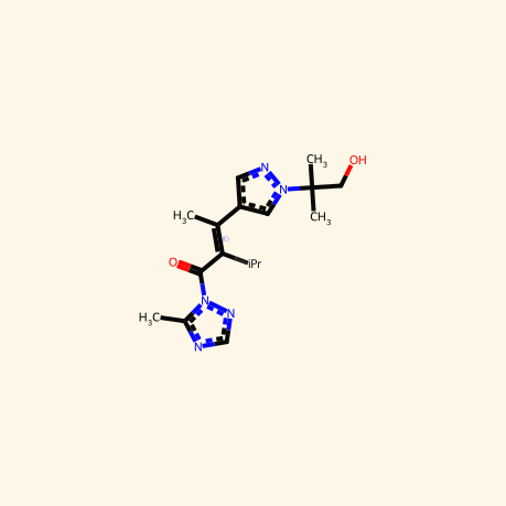 C/C(=C(\C(=O)n1ncnc1C)C(C)C)c1cnn(C(C)(C)CO)c1